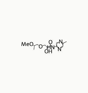 COC(C)COCC(O)C(=O)Nc1cnc(C)cn1